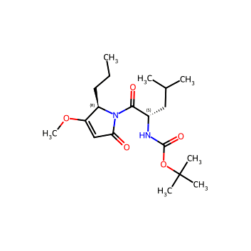 CCC[C@@H]1C(OC)=CC(=O)N1C(=O)[C@H](CC(C)C)NC(=O)OC(C)(C)C